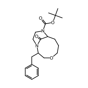 CC(C)(C)OC(=O)N1CCN2C(=O)C1CCCOCC2Cc1ccccc1